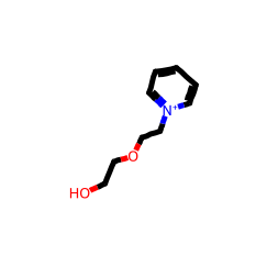 OCCOCC[n+]1ccccc1